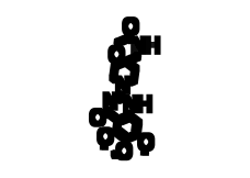 COc1cc2[nH]c(N3CCC4(CC3)CNC(=O)CO4)nc(=O)c2c(OC)c1OC